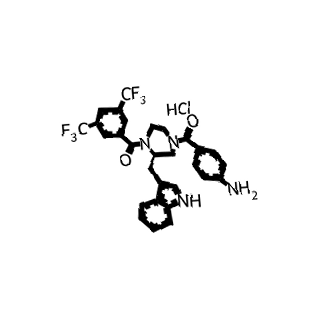 Cl.Nc1ccc(C(=O)N2CCN(C(=O)c3cc(C(F)(F)F)cc(C(F)(F)F)c3)[C@H](Cc3c[nH]c4ccccc34)C2)cc1